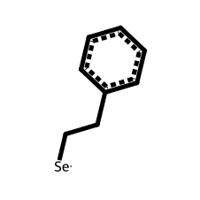 [Se]CCc1ccccc1